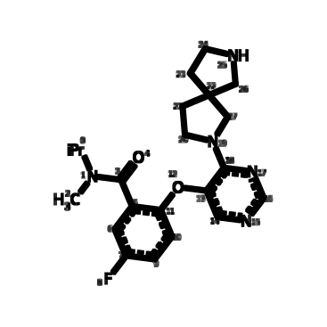 CC(C)N(C)C(=O)c1cc(F)ccc1Oc1cncnc1N1CCC2(CCNC2)C1